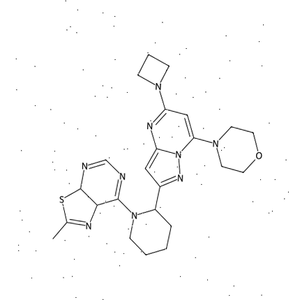 CC1=NC2C(N3CCCCC3c3cc4nc(N5CCC5)cc(N5CCOCC5)n4n3)=NC=NC2S1